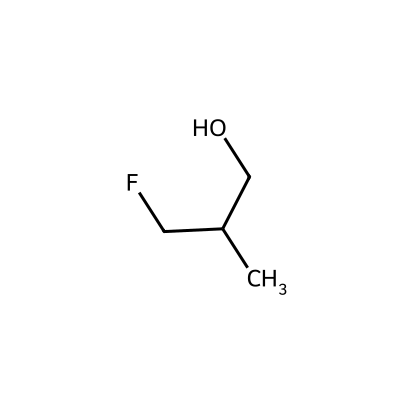 CC(CO)CF